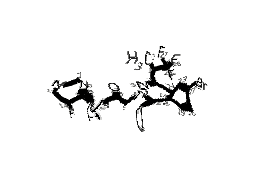 CC(c1nn(CC(=O)Nc2ncncc2F)c(=O)c2ccc(Br)cc12)C(F)(F)F